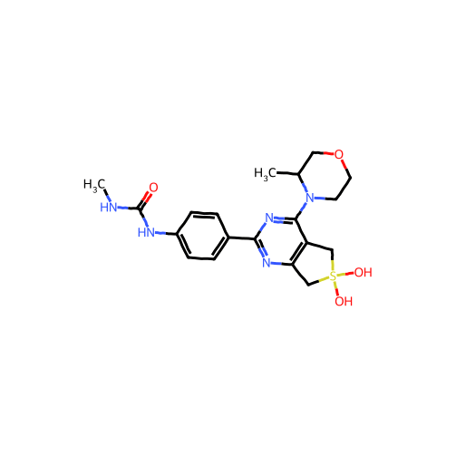 CNC(=O)Nc1ccc(-c2nc3c(c(N4CCOCC4C)n2)CS(O)(O)C3)cc1